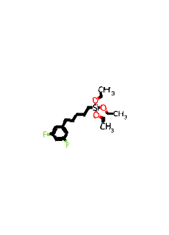 CCO[Si](CCCCCc1cc(F)cc(F)c1)(OCC)OCC